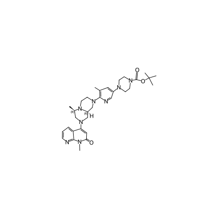 Cc1cc(N2CCN(C(=O)OC(C)(C)C)CC2)cnc1N1CCN2[C@@H](C1)CN(c1cc(=O)n(C)c3ncccc13)C[C@H]2C